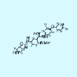 CNc1ccc(NC2=NC3CNCC3O2)cc1C(=N)Nc1ccc(Oc2ccc(C)nc2)c(C)c1